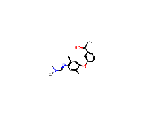 CCCC(O)c1cccc(Oc2cc(C)c(/N=C/N(C)CC)cc2C)c1